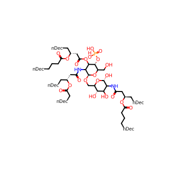 CCCCCCCCCCCCCC(=O)O[C@H](CCCCCCCCCCC)CC(=O)NC1C(O)[C@H](O)C(CO[C@@H]2OC(CO)[C@@H](OP(=O)(O)O)C(OC(=O)C[C@@H](CCCCCCCCCCC)OC(=O)CCCCCCCCCCCCC)C2NC(=O)C[C@@H](CCCCCCCCCCC)OC(=O)CCCCCCCCCCC)O[C@@H]1O